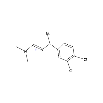 CCC(/N=C/N(C)C)c1ccc(Cl)c(Cl)c1